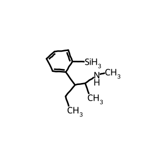 CCC(c1ccccc1[SiH3])C(C)NC